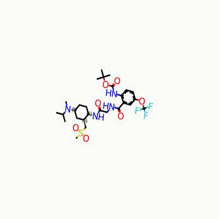 CC(C)N(C)[C@@H]1CC[C@H](NC(=O)CNC(=O)c2cc(OC(F)(F)F)ccc2NC(=O)OC(C)(C)C)[C@@H](CS(C)(=O)=O)C1